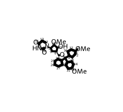 COc1ccc(C(OC[C@H]2C[C@@H](n3ccc(=O)[nH]c3=O)[C@H](OC)[C@@H]2O)(c2ccccc2)c2ccc(OC)cc2)cc1